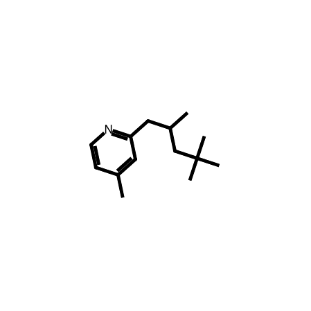 Cc1ccnc(CC(C)CC(C)(C)C)c1